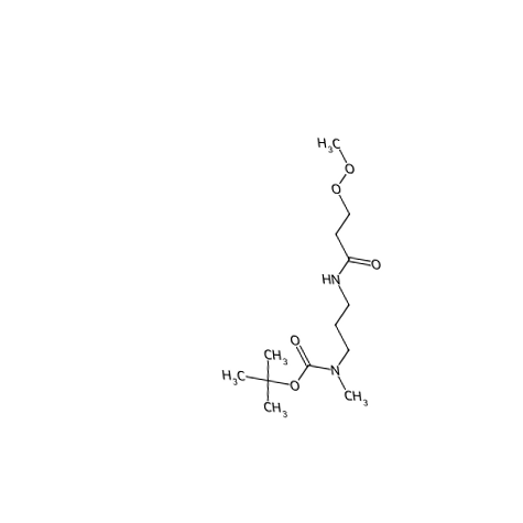 COOCCC(=O)NCCCN(C)C(=O)OC(C)(C)C